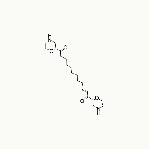 O=C(C=CCCCCCCCCC(=O)C1CNCCO1)C1CNCCO1